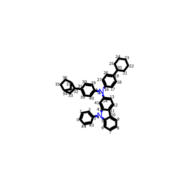 c1ccc(-n2c3ccccc3c3ccc(N(c4ccc(C5CCCCC5)cc4)c4ccc(C5CC6CCC5C6)cc4)cc32)cc1